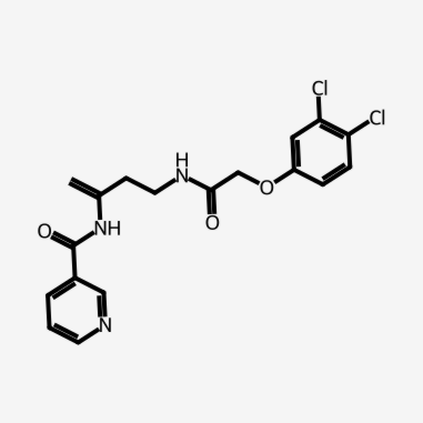 C=C(CCNC(=O)COc1ccc(Cl)c(Cl)c1)NC(=O)c1cccnc1